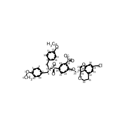 COc1ccc(CN(Cc2ccc(OC)cc2)S(=O)(=O)c2ccc(OC[C@@]3(C=O)OCCc4cc(Cl)ccc43)c([N+](=O)[O-])c2)cc1